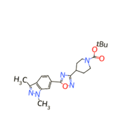 Cc1nn(C)c2cc(-c3nc(C4CCN(C(=O)OC(C)(C)C)CC4)no3)ccc12